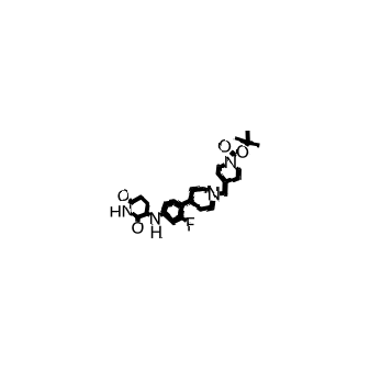 CC(C)(C)OC(=O)N1CCC(CN2CCC(c3ccc(NC4CCC(=O)NC4=O)cc3F)CC2)CC1